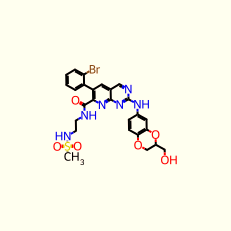 CS(=O)(=O)NCCNC(=O)c1nc2nc(Nc3ccc4c(c3)OC(CO)CO4)ncc2cc1-c1ccccc1Br